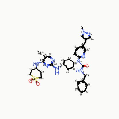 Cn1cc(-c2ccc(N(C(=O)NCc3ccccc3)[C@H]3CC[C@@H](Nc4ncc(C#N)c(NC5CCS(=O)(=O)CC5)n4)CC3)nc2)cn1